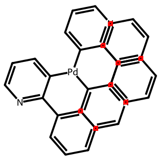 c1ccc(-c2nccc[c]2[Pd]([c]2cccnc2-c2ccccc2)[c]2cccnc2-c2ccccc2)cc1